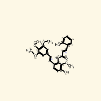 COc1cc(/C=C/c2ccc(O)c(OC)c2NC(=O)/C=C/c2ccccc2O)cc(OC)c1OC